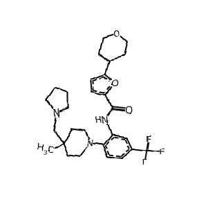 CC1(CN2CCCC2)CCN(c2ccc(C(F)(F)F)cc2NC(=O)c2ccc(C3CCOCC3)o2)CC1